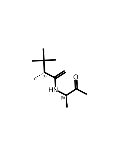 C=C(N[C@H](C)C(C)=O)[C@H](C)C(C)(C)C